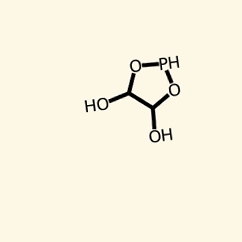 OC1OPOC1O